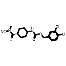 CN(C#N)C(=O)[C@H]1CC[C@@H](NC(=O)OCc2ccc(Cl)c(Cl)c2)CC1